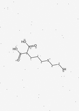 O=C(O)C(CCCSCCS)C(=O)O